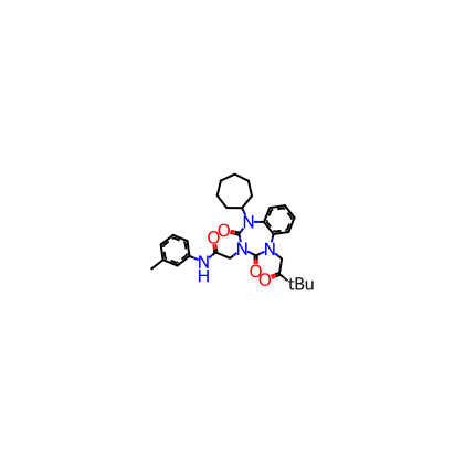 Cc1cccc(NC(=O)CN2C(=O)N(CC(=O)C(C)(C)C)c3ccccc3N(C3CCCCCC3)C2=O)c1